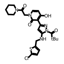 CC(C)(C)C(=O)n1nc(-c2c(O)ccn(CC(=O)N3CCCCC3)c2=O)cc1NCc1ccc(Cl)s1